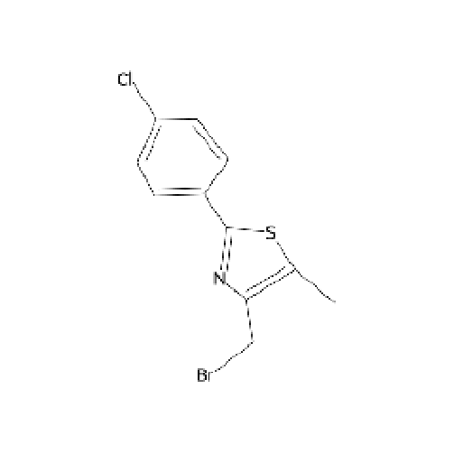 Cc1sc(-c2ccc(Cl)cc2)nc1CBr